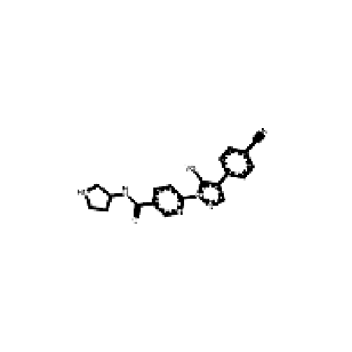 N#Cc1ccc(-c2cnn(-c3ccc(C(=O)NC4CCNC4)cn3)c2O)cc1